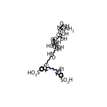 CCN1/C(=C/C=C/C=C/C2=[N+](CCCCCC(=O)NCCNP(=O)(O)OP(=O)(O)OP(=O)(O)OCC3OC(n4cnc5c(=O)[nH]c(N)nc54)C(O)C3O)c3ccc(S(=O)(=O)O)cc3C2(C)C)C(C)(C)c2cc(S(=O)(=O)O)ccc21